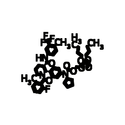 CCCCOP(=O)(OCCCC)OCOC(=O)N(c1ccc([C@H]2[C@@H](C(=O)Nc3ccc(C)c(C(F)(F)F)c3)CCCN2C(=O)c2c(C)cccc2F)cc1)C1CCCC1